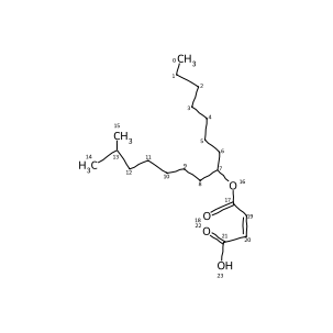 CCCCCCCC(CCCCCC(C)C)OC(=O)/C=C\C(=O)O